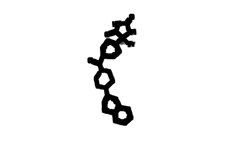 CC(C)[C@]1(c2ccc(C(=O)N3CCC(c4ccc5ccccc5c4)CC3)cc2)NC(=O)NC1=O